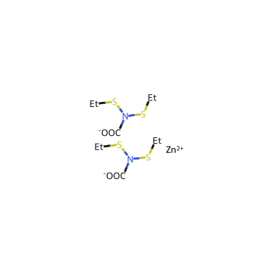 CCSN(SCC)C(=O)[O-].CCSN(SCC)C(=O)[O-].[Zn+2]